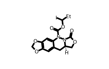 CCC(I)OC(=O)N1c2cc3c(cc2C[C@@H]2COC(=O)N21)OCO3